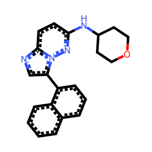 c1ccc2c(-c3cnc4ccc(NC5CCOCC5)nn34)cccc2c1